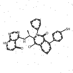 C[C@H](Nc1ncnc2[nH]ccc(=O)c12)c1c(Cl)c2cccc(-c3ccc(S)cc3)c2c(=O)n1-c1ccccc1